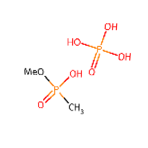 COP(C)(=O)O.O=P(O)(O)O